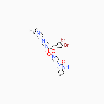 CN1CCC(N2CCN(C(=O)C(Cc3ccc(Br)c(Br)c3)OC(=O)N3CCC(N4Cc5ccccc5NC4=O)CC3)CC2)CC1